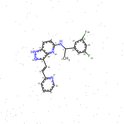 CC(Nc1ccc2[nH]nc(/C=C/c3ccccn3)c2n1)c1cc(F)cc(F)c1